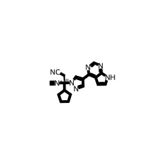 C#[N+][C@@](CC#N)(C1CCCC1)n1cc(-c2ncnc3[nH]ccc23)cn1